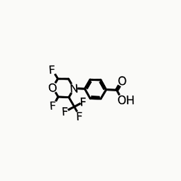 O=C(O)c1ccc(N2CC(F)OC(F)C2C(F)(F)F)cc1